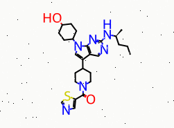 CCC[C@H](C)Nc1ncc2c(C3CCN(C(=O)c4cncs4)CC3)cn(C3CCC(O)CC3)c2n1